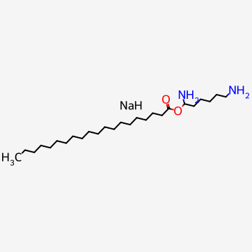 CCCCCCCCCCCCCCCCCCCC(=O)OC(N)CCCCCN.[NaH]